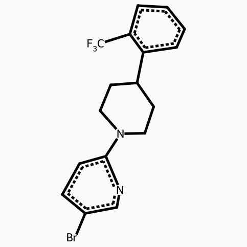 FC(F)(F)c1ccccc1C1CCN(c2ccc(Br)cn2)CC1